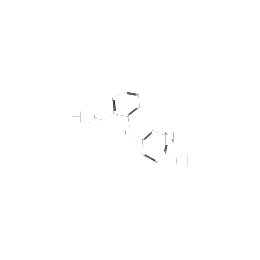 OCc1ccccc1Oc1ccc(Cl)nc1